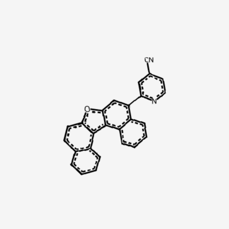 N#Cc1ccnc(-c2cc3oc4ccc5ccccc5c4c3c3ccccc23)c1